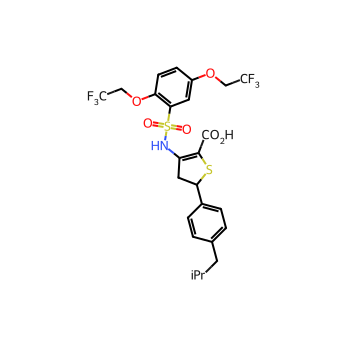 CC(C)Cc1ccc(C2CC(NS(=O)(=O)c3cc(OCC(F)(F)F)ccc3OCC(F)(F)F)=C(C(=O)O)S2)cc1